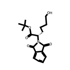 CC(C)(C)OC(=O)[C@H](CCCCO)N1C(=O)c2ccccc2C1=O